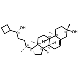 C[C@H](CC[C@@H](O)C1CCC1)[C@H]1CC[C@H]2[C@@H]3CC=C4C[C@@](C)(O)CC[C@]4(C)[C@H]3CC[C@]12C